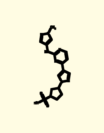 CCCS(=O)(=O)N1CCC(n2cc(-c3ccnc(Nc4cnn(C)c4)n3)cn2)C1